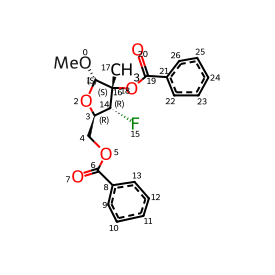 CO[C@H]1O[C@H](COC(=O)c2ccccc2)[C@@H](F)[C@@]1(C)OC(=O)c1ccccc1